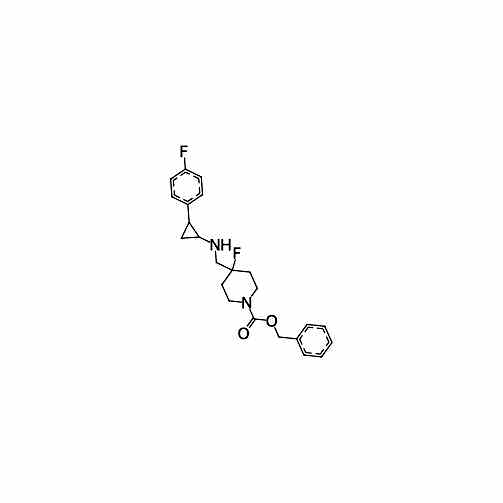 O=C(OCc1ccccc1)N1CCC(F)(CNC2CC2c2ccc(F)cc2)CC1